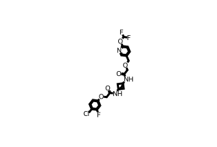 O=C(COCc1ccc(OC(F)F)nc1)NC12CC(NC(=O)COc3ccc(Cl)c(F)c3)(C1)C2